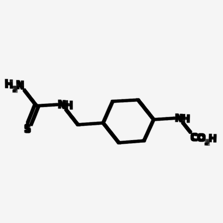 NC(=S)NCC1CCC(NC(=O)O)CC1